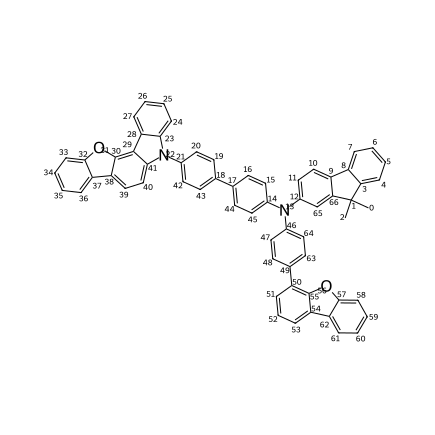 CC1(C)c2ccccc2-c2ccc(N(c3ccc(-c4ccc(-n5c6ccccc6c6c7oc8ccccc8c7ccc65)cc4)cc3)c3ccc(-c4cccc5c4oc4ccccc45)cc3)cc21